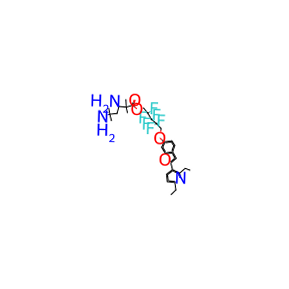 CCc1ccc(-c2cc3ccc(OCC(F)(F)C(F)(F)C(F)(F)COC(=O)C(C)(C)C(N)CC(C)(C)N)cc3o2)c(CC)n1